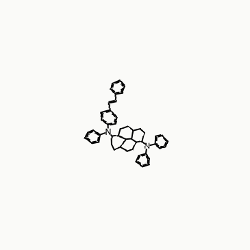 C(=Cc1ccc(N(c2ccccc2)C2CCC3CCC4C5C(CCC2C35)CCC4N(c2ccccc2)c2ccccc2)cc1)c1ccccc1